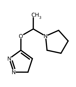 CC(OC1=CCN=N1)N1CCCC1